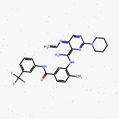 C=C/N=C1/C=NC(N2CCCCC2)=N/C1=C(/N)Nc1cc(C(=O)Nc2cccc(C(F)(F)F)c2)ccc1C